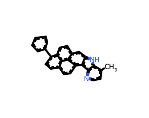 Cc1ccnc2c1[nH]c1cc3ccc4c(-c5ccccc5)ccc5ccc(c12)c3c54